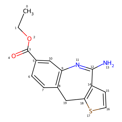 CCOC(=O)c1ccc2c(c1)N=C(N)c1ccsc1C2